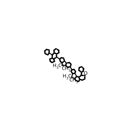 CC1(C)c2cc(-c3ccc4c(c3)C(C)(C)c3ccc5ccc6oc7ccccc7c6c5c3-4)ccc2-c2ccc(-c3c4ccccc4c(-c4ccccc4)c4ccccc34)cc21